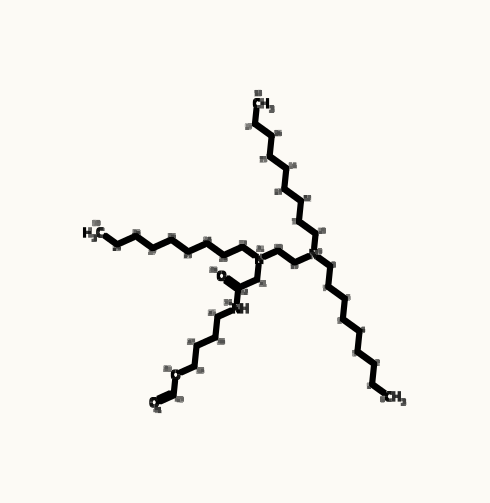 CCCCCCCCCN(CCCCCCCCC)CCN(CCCCCCCCC)CC(=O)NCCCCOC=O